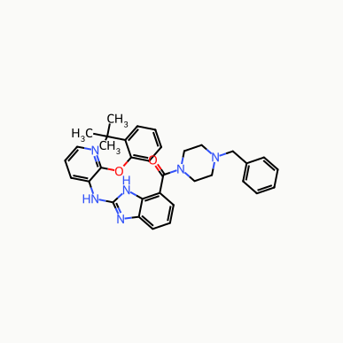 CC(C)(C)c1ccccc1Oc1ncccc1Nc1nc2cccc(C(=O)N3CCN(Cc4ccccc4)CC3)c2[nH]1